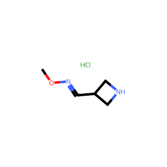 CON=CC1CNC1.Cl